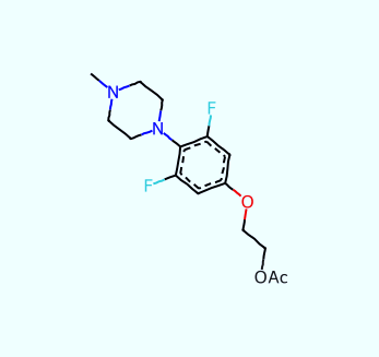 CC(=O)OCCOc1cc(F)c(N2CCN(C)CC2)c(F)c1